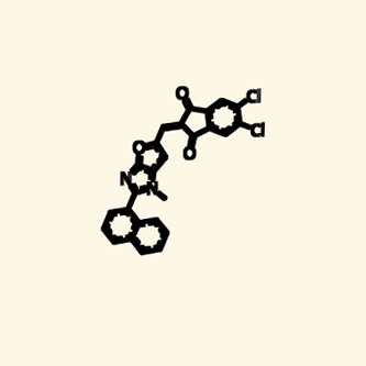 Cn1c(-c2cccc3ccccc23)nc2oc(C=C3C(=O)c4cc(Cl)c(Cl)cc4C3=O)cc21